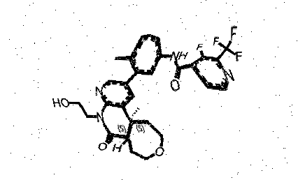 Cc1ccc(NC(=O)c2ccnc(C(F)(F)F)c2F)cc1-c1cnc2c(c1)[C@@]1(C)CCOCC[C@@H]1C(=O)N2CCO